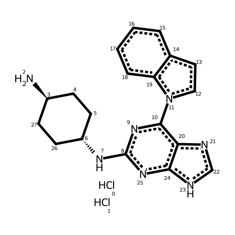 Cl.Cl.N[C@H]1CC[C@H](Nc2nc(-n3ccc4ccccc43)c3nc[nH]c3n2)CC1